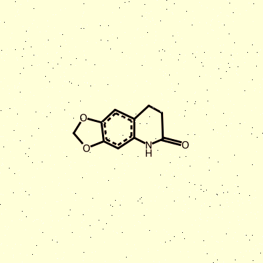 O=C1CCc2cc3c(cc2N1)OCO3